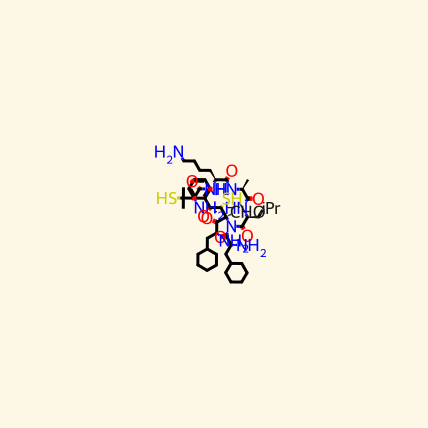 CC(C)C[C@H](NC(=O)[C@H](C)NC(=O)[C@H](CCCCN)NC(=O)[C@@H](N)C(C)(C)S)C(=O)N(C(=O)[C@@H](N)CC1CCCCC1)[C@@]([C]=O)(C(=O)[C@@H](N)CC1CCCCC1)C(S)C(=O)c1ccccc1